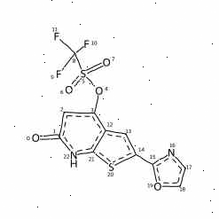 O=c1cc(OS(=O)(=O)C(F)(F)F)c2cc(-c3ncco3)sc2[nH]1